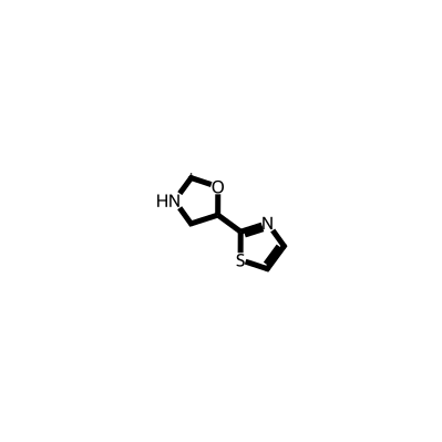 [CH]1NCC(c2nccs2)O1